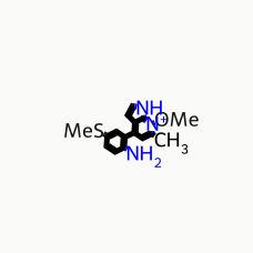 CO[n+]1c(C)cc(-c2cc(SC)ccc2N)c2cc[nH]c21